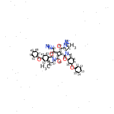 CCCN(Cc1ccc(Oc2ccccc2)cc1)C(=O)[C@H]1[C@@H](C(=O)C=[N+]=[N-])[C@H](C(=O)C=[N+]=[N-])[C@@H]1C(=O)N(CCC)Cc1ccc(Oc2ccccc2)cc1